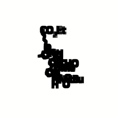 CCOC(=O)CCCCCOc1cc(C)ccc1N(C)C(=O)c1ccc(-c2cccc3[nH]c(CNC(=O)OC(C)(C)C)nc23)c(OC)c1NC=O